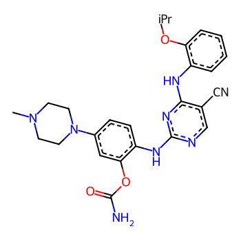 CC(C)Oc1ccccc1Nc1nc(Nc2ccc(N3CCN(C)CC3)cc2OC(N)=O)ncc1C#N